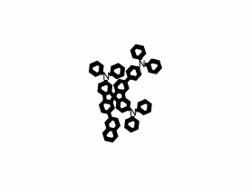 c1ccc(N(c2ccccc2)c2ccc(-c3ccc4c(c3)-c3cc(N(c5ccccc5)c5ccccc5)ccc3C43c4cc(-c5ccc6ccccc6c5)ccc4-c4ccc(N(c5ccccc5)c5ccccc5)cc43)cc2)cc1